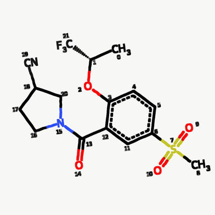 C[C@H](Oc1ccc(S(C)(=O)=O)cc1C(=O)N1CCC(C#N)C1)C(F)(F)F